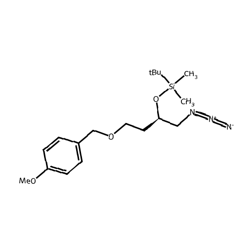 COc1ccc(COCC[C@H](CN=[N+]=[N-])O[Si](C)(C)C(C)(C)C)cc1